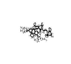 CCN(CC)c1ccc2c(c1)[Si]1(CCCCC1)c1cc(N(CC)CC)ccc1C21OC(=O)c2cc(C(F)F)c(C(=O)NCCN3C(=O)C=CC3=O)cc21